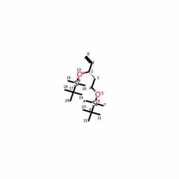 C=C[C@H](CCO[Si](C)(C)C(C)(C)C)O[Si](C)(C)C(C)(C)C